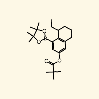 CCC1CCCc2cc(OC(=O)C(C)(C)C)cc(B3OC(C)(C)C(C)(C)O3)c21